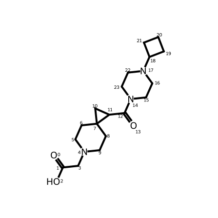 O=C(O)CN1CCC2(CC1)CC2C(=O)N1CCN(C2CCC2)CC1